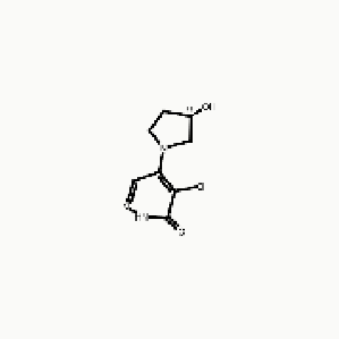 O=c1[nH]ncc(N2CC[C@@H](O)C2)c1Cl